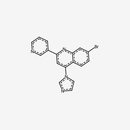 Brc1ccc2c(-n3ccnc3)cc(-c3cccnc3)nc2c1